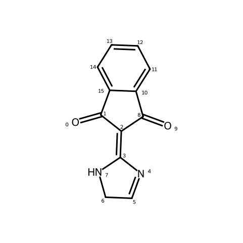 O=C1C(=C2N=CCN2)C(=O)c2ccccc21